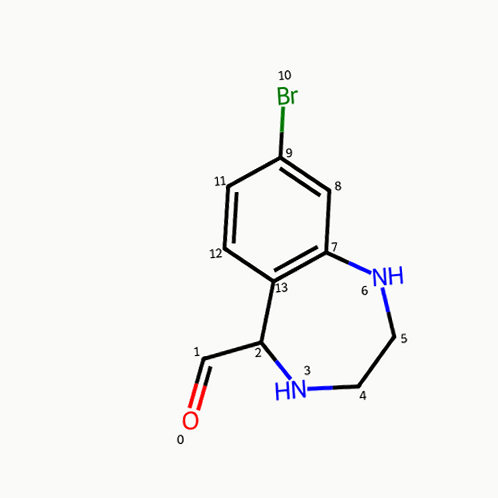 O=CC1NCCNc2cc(Br)ccc21